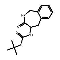 CC(C)(C)OC(=O)NC1Cc2ccccc2CNC1=O